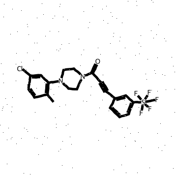 Cc1ccc(Cl)cc1N1CCN(C(=O)C#Cc2cccc(S(F)(F)(F)(F)F)c2)CC1